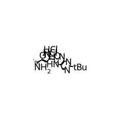 C[C@@H](N)c1cc(C(=O)Nc2cnc(C(C)(C)C)nc2N)no1.Cl.Cl